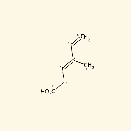 C=C/C(C)=C/CC(=O)O